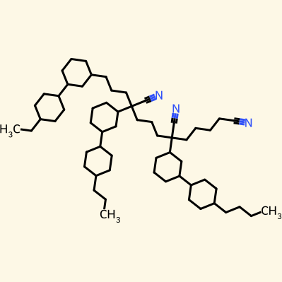 CCCCC1CCC(C2CCCC(C(C#N)(CCCCC#N)CCCC(C#N)(CCCC3CCCC(C4CCC(CC)CC4)C3)C3CCCC(C4CCC(CCC)CC4)C3)C2)CC1